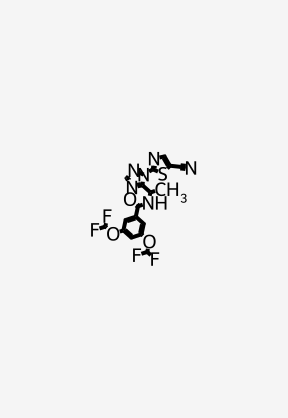 CC(NC(=O)c1cc(OC(F)F)cc(OC(F)F)c1)c1ncnn1-c1ncc(C#N)s1